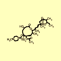 CCC(O)C(C)C1OC1CC(C)(O)/C=C/C=C(\C)C1OC(=O)CC(O)CCC(C)(OC(=O)N2CCN(C)CC2)C(OC(C)=O)/C=C/C1C